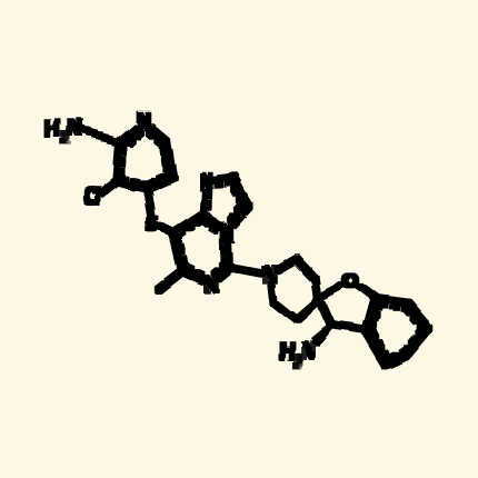 Cc1nc(N2CCC3(CC2)Oc2ccccc2[C@H]3N)n2ccnc2c1Sc1ccnc(N)c1Cl